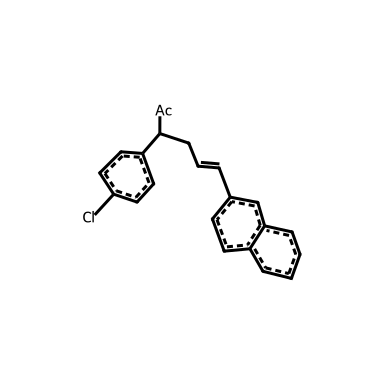 CC(=O)C(C/C=C/c1ccc2ccccc2c1)c1ccc(Cl)cc1